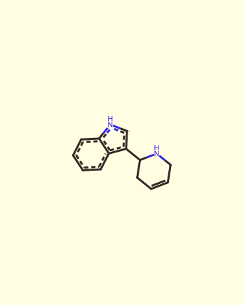 [c]1[nH]c2ccccc2c1C1CC=CCN1